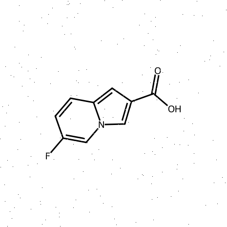 O=C(O)c1cc2ccc(F)cn2c1